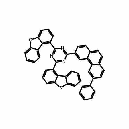 c1ccc(-c2ccc3ccc4ccc(-c5nc(-c6cccc7oc8ccccc8c67)nc(-c6cccc7sc8ccccc8c67)n5)cc4c3c2)cc1